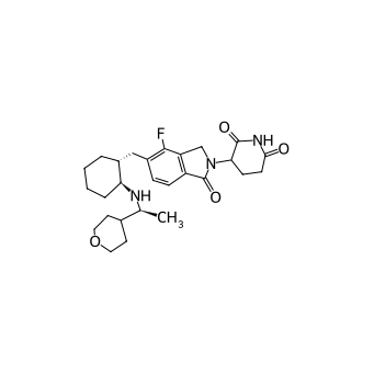 C[C@H](N[C@H]1CCCC[C@@H]1Cc1ccc2c(c1F)CN(C1CCC(=O)NC1=O)C2=O)C1CCOCC1